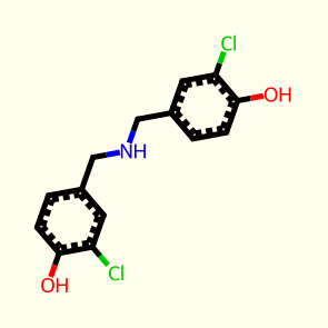 Oc1ccc(CNCc2ccc(O)c(Cl)c2)cc1Cl